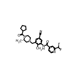 Cc1c(CN2CCN(C(=O)C3CCCC3)[C@@H](C)C2)cc(C#N)cc1NC(=O)c1ccnc(C(F)F)c1